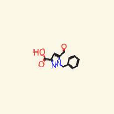 O=Cc1cc(C(=O)O)nn1Cc1ccccc1